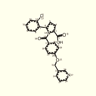 O=C(O)c1ccc(-c2ccccc2Cl)n1C(=O)c1ccc(OCc2cccnc2)cc1